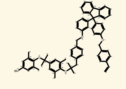 C=Cc1ccc(COc2ccc(C3(c4cccc(OCc5ccc(CC(C)(C)Oc6c(C)cc(C(C)(C)Oc7c(C)cc(C(C)(C)C)cc7C)cc6C)cc5)c4)c4ccccc4-c4ccccc43)cc2)cc1